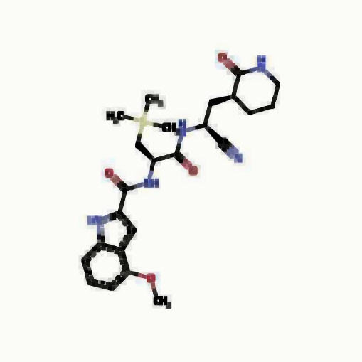 COc1cccc2[nH]c(C(=O)N[C@@H](CS(C)(C)C)C(=O)N[C@H](C#N)C[C@@H]3CCCNC3=O)cc12